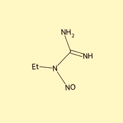 CCN(N=O)C(=N)N